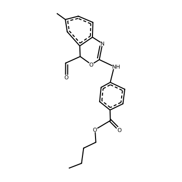 CCCCOC(=O)c1ccc(NC2=Nc3ccc(C)cc3C(C=O)O2)cc1